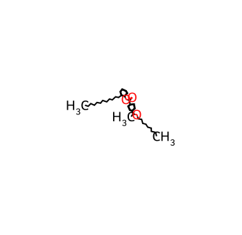 CCCCCCCCCCCCc1ccccc1OC(=O)c1ccc(C(C)OCCCCCCCCC)cc1